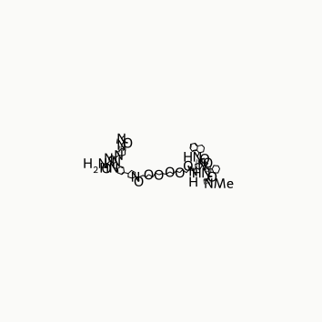 CN[C@@H](C)C(=O)N[C@H](C(=O)N1CC(NC(=O)CCOCCOCCOCCOCCC(=O)N2CCC(c3ccc(Nc4nc(N5CCC[C@@H](N6CCN(C)C6=O)C5)cnc4C(N)=O)cc3)CC2)C[C@H]1C(=O)NC1CCCc2ccccc21)C1CCCCC1